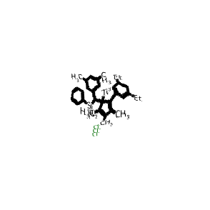 CCc1cc(CC)cc(C2=C(C)C(C)=C(C)[C]2([Ti+3])C([SiH2]c2ccccc2)c2cc(C)cc(C)c2)c1.[Cl-].[Cl-].[Cl-]